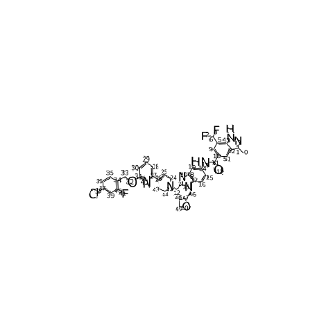 Cc1n[nH]c2c(C(F)F)cc(C(=O)Nc3ccc4c(c3)nc(CN3CC=C(c5cccc(OCc6ccc(Cl)cc6F)n5)CC3)n4C[C@@H]3CCO3)cc12